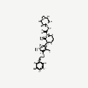 Cc1c(C2CCCN(C(=O)CN3CCOCC3)C2=O)n[nH]c1OCc1ccccc1